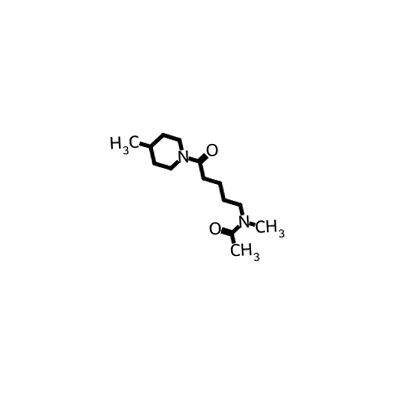 CC(=O)N(C)CCCCC(=O)N1CCC(C)CC1